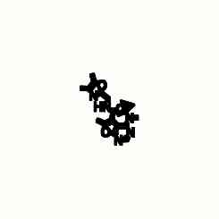 Cc1nc(CNC(=O)c2c(C)oc3ncnc(N(C)C4(C)CC4)c23)oc1C